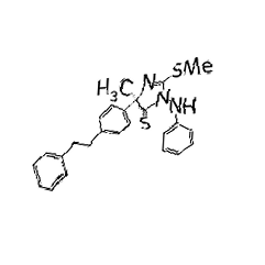 CSC1=N[C@](C)(c2ccc(CCc3ccccc3)cc2)C(=S)N1Nc1ccccc1